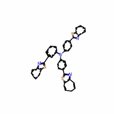 C1=Cc2nc(-c3ccc(N(c4ccc(-c5nc6ccccc6s5)cc4)c4cccc(-c5nc6ccccc6s5)c4)cc3)sc2C=CC1